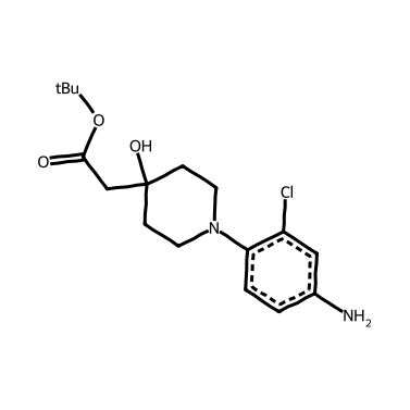 CC(C)(C)OC(=O)CC1(O)CCN(c2ccc(N)cc2Cl)CC1